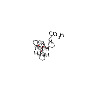 O=C(O)CCN1CCCC(Cc2nc3ccccc3n2C2C[C@H]3CCC[C@@H](C2)N3C2C[C@H]3CCCC[C@@H](C2)C3)C1